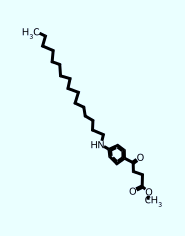 CCCCCCCCCCCCCCCCNc1ccc(C(=O)CCC(=O)OC)cc1